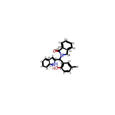 Cc1ccc(O)c(C(c2cc3ccccc3[nH]2)N2Cc3ccccc3C2=O)c1